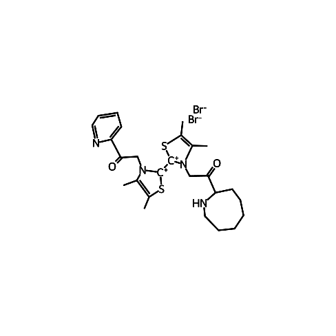 Cc1s[c+](-[c+]2sc(C)c(C)n2CC(=O)C2CCCCCCN2)n(CC(=O)c2ccccn2)c1C.[Br-].[Br-]